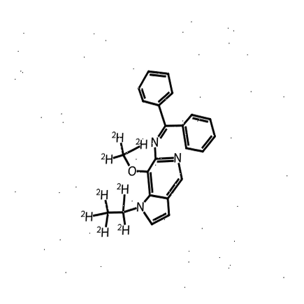 [2H]C([2H])([2H])Oc1c(N=C(c2ccccc2)c2ccccc2)ncc2ccn(C([2H])([2H])C([2H])([2H])[2H])c12